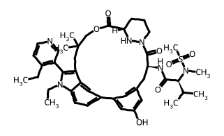 CCc1ccncc1-c1c2c3cc(ccc3n1CC)-c1cc(O)cc(c1)C[C@H](NC(=O)[C@H](C(C)C)N(C)S(C)(=O)=O)C(=O)N1CCC[C@H](N1)C(=O)OCC(C)(C)C2